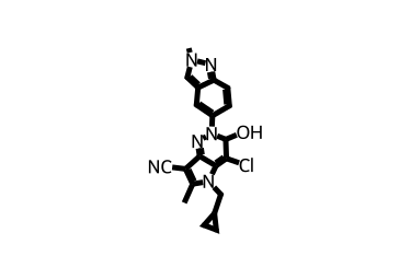 Cc1c(C#N)c2c(n1CC1CC1)=C(Cl)C(O)N(c1ccc3nn(C)cc3c1)N=2